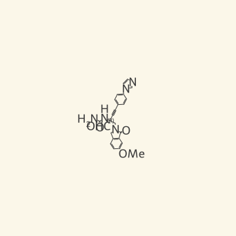 COc1ccc2c(c1)C(=O)N(C[C@](C#Cc1ccc(-n3ccnc3)cc1)(C=O)NC(N)=O)C2